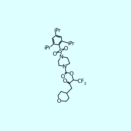 CC(C)c1cc(C(C)C)c(S(=O)(=O)N2CCN(C(=O)OC(C(=O)CC3CCOCC3)C(F)(F)F)CC2)c(C(C)C)c1